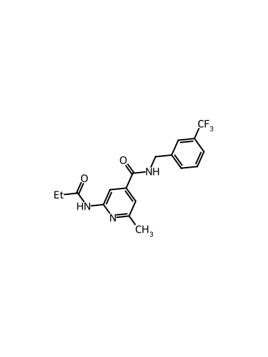 CCC(=O)Nc1cc(C(=O)NCc2cccc(C(F)(F)F)c2)cc(C)n1